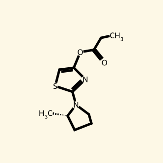 CCC(=O)Oc1csc(N2CCC[C@@H]2C)n1